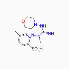 CN(N)C(=N)NN1CCOCC1.Cc1ccc(S(=O)(=O)O)cc1